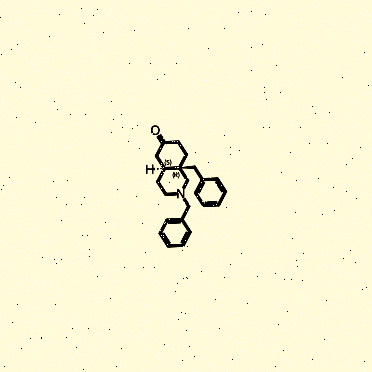 O=C1CC[C@]2(Cc3ccccc3)CN(Cc3ccccc3)CC[C@H]2C1